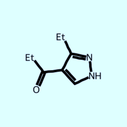 CCC(=O)c1c[nH]nc1CC